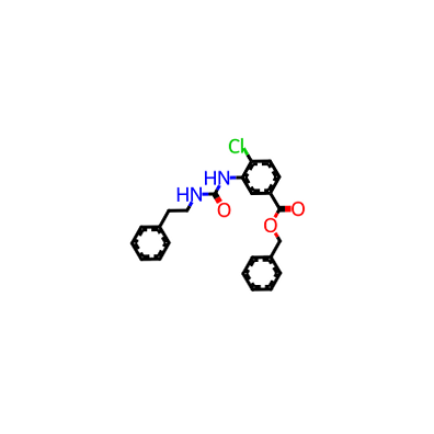 O=C(NCCc1ccccc1)Nc1cc(C(=O)OCc2ccccc2)ccc1Cl